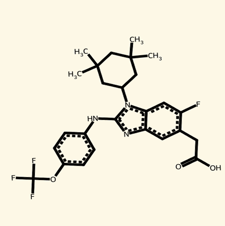 CC1(C)CC(n2c(Nc3ccc(OC(F)(F)F)cc3)nc3cc(CC(=O)O)c(F)cc32)CC(C)(C)C1